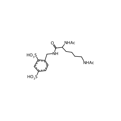 CC(=O)NCCCCC(NC(C)=O)C(=O)NCc1ccc(S(=O)(=O)O)cc1S(=O)(=O)O